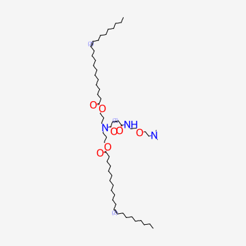 CCCCCCCC/C=C\CCCCCCCCCCCC(=O)OCCCN(CCCOC(=O)CCCCCCCCCCC/C=C\CCCCCCCC)C(=O)/C=C\C(=O)NCCOCCN(C)C